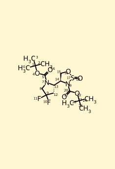 CC(C)(C)OC(=O)N1CC(F)(F)C[C@H]1[C@H]1COS(=O)N1C(=O)OC(C)(C)C